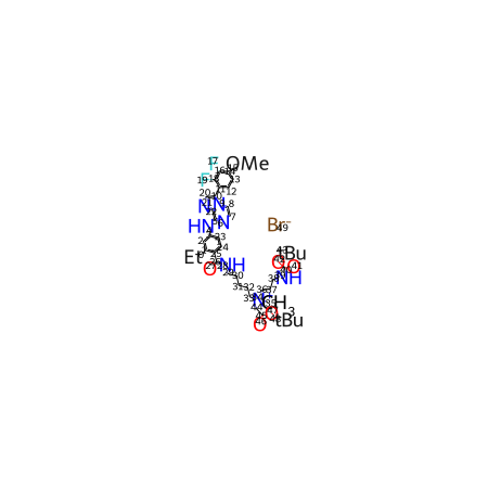 CCc1cc(Nc2nccn3c(-c4ccc(OC)c(F)c4F)cnc23)ccc1C(=O)NCCCCC[N+](C)(CCCNC(=O)OC(C)(C)C)CC(=O)OC(C)(C)C.[Br-]